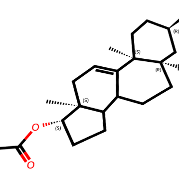 CC(=O)O[C@H]1CCC2C3CC[C@@H]4C[C@H](C)CC[C@]4(C)C3=CC[C@@]21C